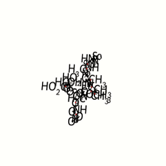 CCC1(Cn2ncc(-c3ccc(-c4[nH]c5c(C(=O)Nc6nc7ccccc7s6)cccc5c4C)nc3C(=O)O)c2C)CC2(C)CC(C)(C)CC(OCCN(C)C(=O)OCc3ccc(O[C@H]4C[C@@H](O)[C@H](O)[C@@H](C(=O)O)O4)cc3OCCOCCNC(=O)CCN3C(=O)C=CC3=O)(C2)C1